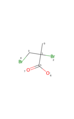 CC(Br)(CBr)C([O])=O